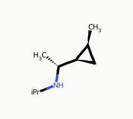 CC(C)N[C@H](C)[C@@H]1C[C@@H]1C